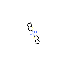 c1ccc2c(c1)CCC(NNC1CCc3ccccc3S1)S2